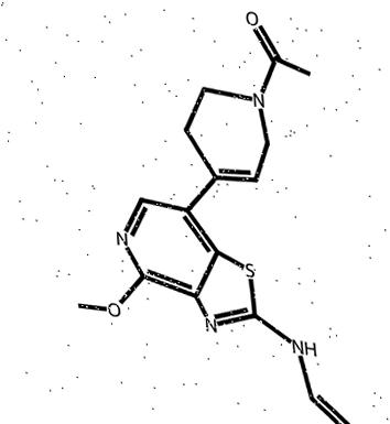 COc1ncc(C2=CCN(C(C)=O)CC2)c2sc(NC=O)nc12